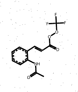 CC(=O)Nc1ccccc1C=CC(=O)OOC(F)(F)F